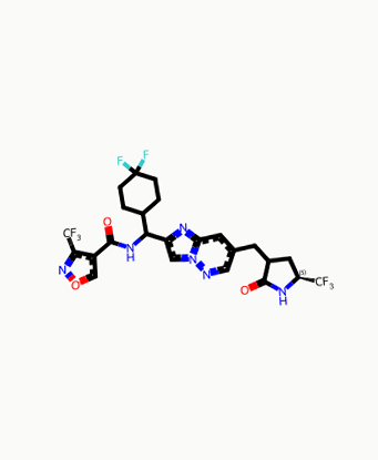 O=C(NC(c1cn2ncc(CC3C[C@@H](C(F)(F)F)NC3=O)cc2n1)C1CCC(F)(F)CC1)c1conc1C(F)(F)F